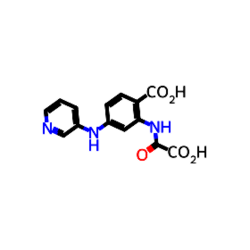 O=C(O)C(=O)Nc1cc(Nc2cccnc2)ccc1C(=O)O